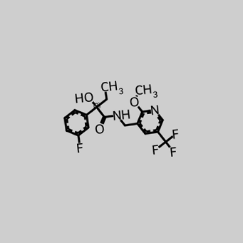 CC[C@](O)(C(=O)NCc1cc(C(F)(F)F)cnc1OC)c1cccc(F)c1